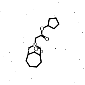 CC1C2CCCCC1CN(CC(=O)OC1CCCC1)C2